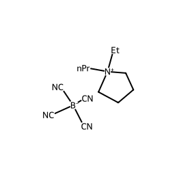 CCC[N+]1(CC)CCCC1.N#C[B-](C#N)(C#N)C#N